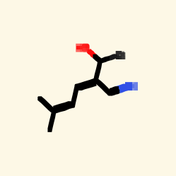 CCC(O)/C(C=N)=C/C=C(C)C